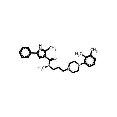 Cc1cccc(N2CCN(CCCN(C)C(=O)c3cc(-c4ccccc4)[nH]c3C)CC2)c1C